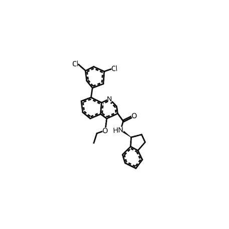 CCOc1c(C(=O)N[C@H]2CCc3ccccc32)cnc2c(-c3cc(Cl)cc(Cl)c3)cccc12